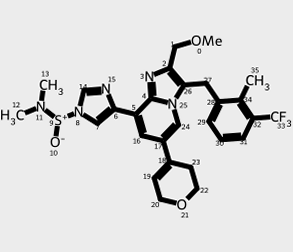 COCc1nc2c(-c3cn([S+]([O-])N(C)C)cn3)cc(C3=CCOCC3)cn2c1Cc1cccc(C(F)(F)F)c1C